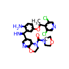 C[C@@H](Oc1ccc(N)c(C(=N)c2cnc3c(c2)N(C(=O)N2CCOCC2)CCO3)c1)c1c(Cl)cncc1Cl